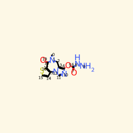 CN1Cc2c(OC(=O)NN)ncn2-c2ccsc2C1=O